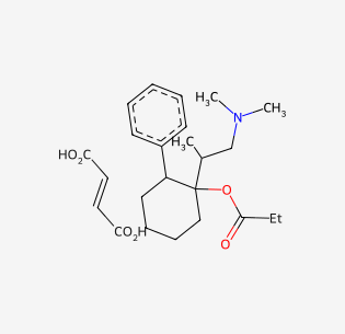 CCC(=O)OC1(C(C)CN(C)C)CCCCC1c1ccccc1.O=C(O)C=CC(=O)O